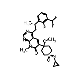 COC1(c2cc3c(C[C@H](C)c4cccc(C(F)F)c4F)ncnc3n(C)c2=O)CCS(=O)(=NC2CC2)CC1